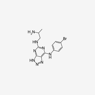 CC(N)CNc1nc(Nc2ccc(Br)cc2)c2nn[nH]c2n1